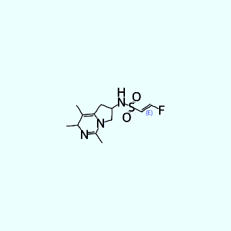 CC1=NC(C)C(C)=C2CC(NS(=O)(=O)/C=C/F)CN12